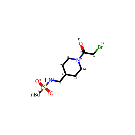 CCCCS(=O)(=O)NCC1CCN(C(=O)CBr)CC1